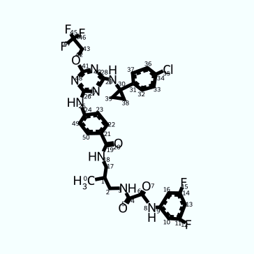 CC(CNC(=O)C(=O)Nc1cc(F)cc(F)c1)CNC(=O)c1ccc(Nc2nc(NC3(c4ccc(Cl)cc4)CC3)nc(OCC(F)(F)F)n2)cc1